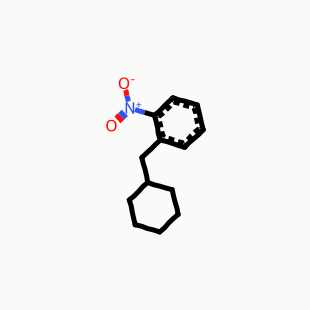 O=[N+]([O-])c1ccccc1CC1CCCCC1